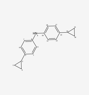 c1cc(C2CC2)ccc1Nc1ccc(C2CC2)cc1